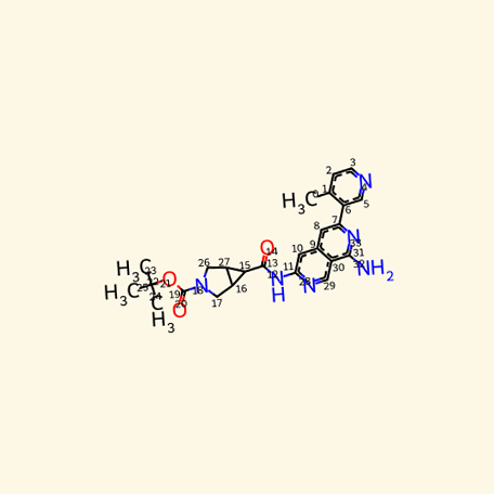 Cc1ccncc1-c1cc2cc(NC(=O)C3C4CN(C(=O)OC(C)(C)C)CC43)ncc2c(N)n1